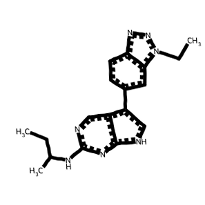 CCC(C)Nc1ncc2c(-c3ccc4nnn(CC)c4c3)c[nH]c2n1